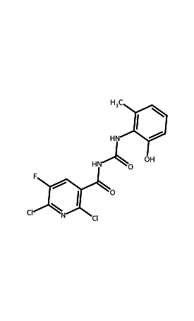 Cc1cccc(O)c1NC(=O)NC(=O)c1cc(F)c(Cl)nc1Cl